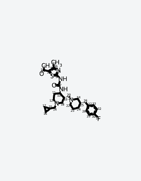 CC(=O)c1sc(NC(=O)N[C@@H]2CCN(CC3CC3)C[C@H]2CN2CCC[C@@H](Cc3ccc(F)cc3)C2)nc1C